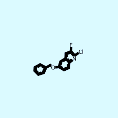 Fc1cc2cc(OCc3ccccc3)ccc2nc1Cl